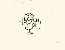 CC(CO)OC(C)CC(C)(C)OO